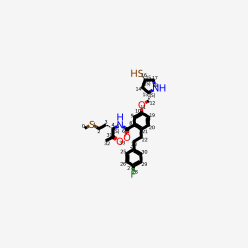 CSCC[C@H](NC(=O)c1cc(OC[C@@H]2C[C@H](S)CN2)ccc1CCc1ccc(F)cc1)C(C)=O